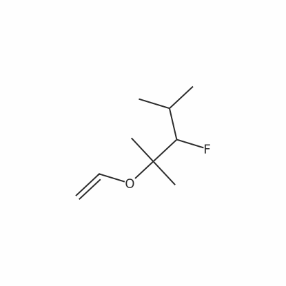 C=COC(C)(C)C(F)C(C)C